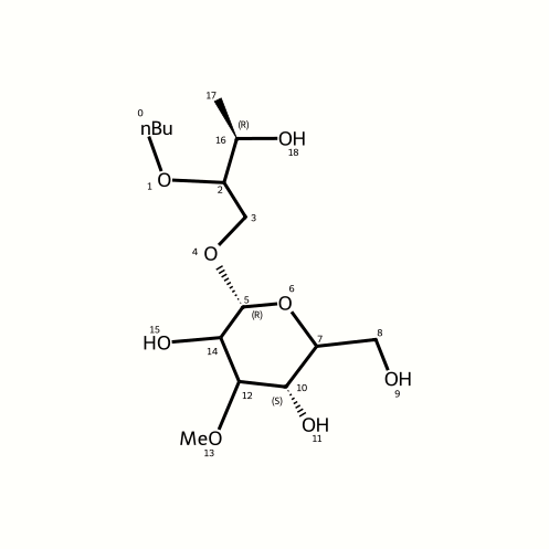 CCCCOC(CO[C@@H]1OC(CO)[C@H](O)C(OC)C1O)[C@@H](C)O